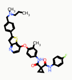 CCCN(C)Cc1ccc(-c2cc3nccc(Oc4ccc(NC(=O)C5(C(=O)Nc6ccc(F)cc6)CC5)cc4C)c3s2)cc1